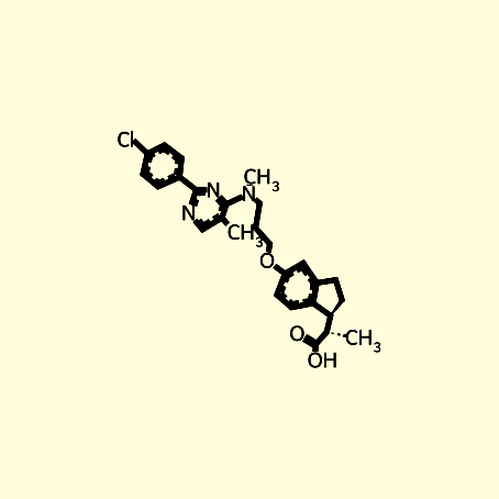 Cc1cnc(-c2ccc(Cl)cc2)nc1N(C)CCCOc1ccc2c(c1)CC[C@H]2[C@H](C)C(=O)O